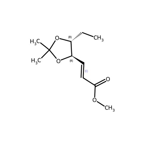 CC[C@H]1OC(C)(C)O[C@@H]1/C=C/C(=O)OC